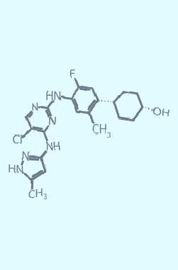 Cc1cc(Nc2nc(Nc3cc(C)c([C@H]4CC[C@@H](O)CC4)cc3F)ncc2Cl)n[nH]1